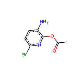 CC(=O)Oc1nc(Br)ccc1N